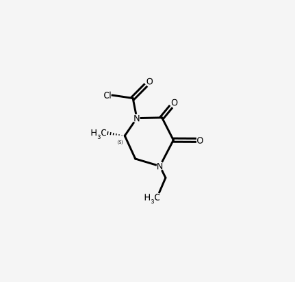 CCN1C[C@H](C)N(C(=O)Cl)C(=O)C1=O